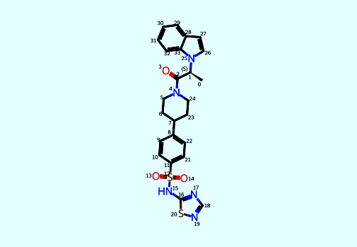 C[C@@H](C(=O)N1CCC(c2ccc(S(=O)(=O)Nc3ncns3)cc2)CC1)n1ccc2ccccc21